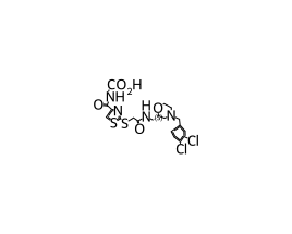 O=C(O)CNC(=O)c1csc(SCC(=O)NC[C@H]2CN(Cc3ccc(Cl)c(Cl)c3)CCO2)n1